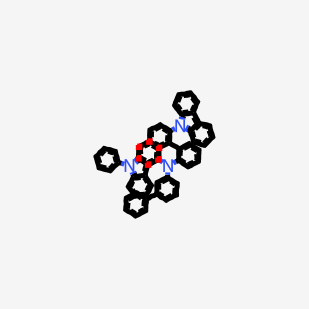 c1ccc(-c2cccc(N(c3ccccc3-c3c(-n4c5ccccc5c5ccccc54)ccc4ccccc34)c3cccc4c3c3ccccc3n4-c3ccccc3)c2)cc1